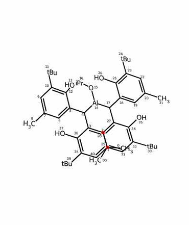 Cc1cc([CH](c2cc(C)cc(C(C)(C)C)c2O)[Al]([O]C(C)C)[CH](c2cc(C)cc(C(C)(C)C)c2O)c2cc(C)cc(C(C)(C)C)c2O)c(O)c(C(C)(C)C)c1